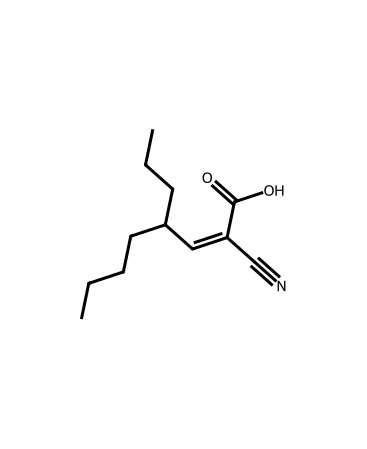 CCCCC(C=C(C#N)C(=O)O)CCC